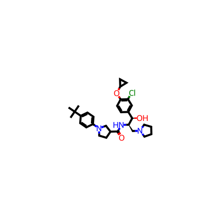 CC(C)(C)c1ccc(N2CCC(C(=O)N[C@H](CN3CCCC3)[C@H](O)c3ccc(OC4CC4)c(Cl)c3)C2)cc1